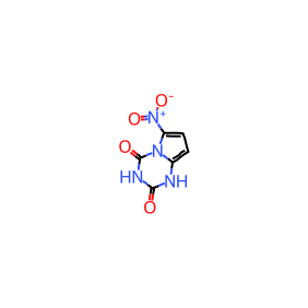 O=c1[nH]c(=O)n2c([N+](=O)[O-])ccc2[nH]1